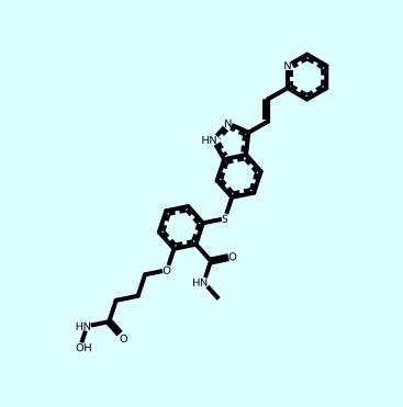 CNC(=O)c1c(OCCCC(=O)NO)cccc1Sc1ccc2c(/C=C/c3ccccn3)n[nH]c2c1